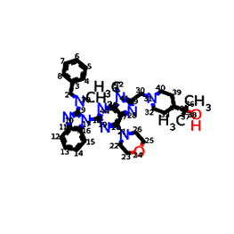 CN(Cc1ccccc1)c1nc2ccccc2n1-c1nc(N2CCOCC2)c2nc(CN3CCC(C(C)(C)O)CC3)n(C)c2n1